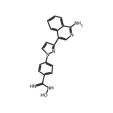 N=C(NO)c1ccc(-n2ccc(-c3cnc(N)c4ccccc34)n2)cc1